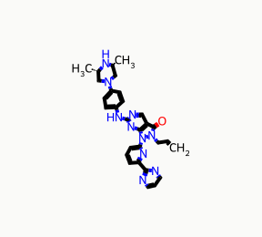 C=CCn1c(=O)c2cnc(Nc3ccc(N4C[C@@H](C)N[C@@H](C)C4)cc3)nc2n1-c1cccc(-c2ncccn2)n1